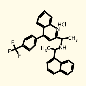 CC(NC(C)c1cccc2ccccc12)c1cc(-c2ccc(C(F)(F)F)cc2)c2ccccc2n1.Cl